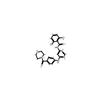 O=C(Nc1cc(Nc2ccc(C(=O)N3CCOCC3)cc2)ncn1)c1c(Cl)cccc1Cl